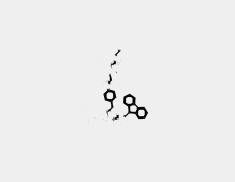 C=CCOC(=O)NCCOc1ccc(C[C@@H](C(=O)O)N(C)C(=O)OCC2c3ccccc3-c3ccccc32)cc1